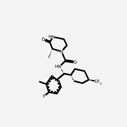 Cc1cc([C@H](NC(=O)N2CCNC(=O)[C@H]2C)[C@H]2CC[C@H](C(F)(F)F)CC2)ccc1F